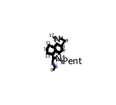 C/C=C/C1=[N+](C(C)CCC)c2cc3c(c4cccc1c24)N(C)CC3